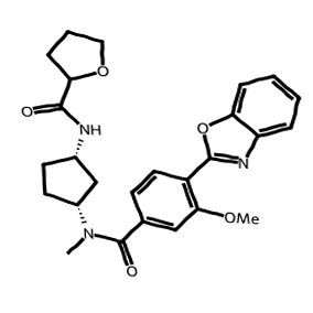 COc1cc(C(=O)N(C)[C@@H]2CC[C@H](NC(=O)C3CCCO3)C2)ccc1-c1nc2ccccc2o1